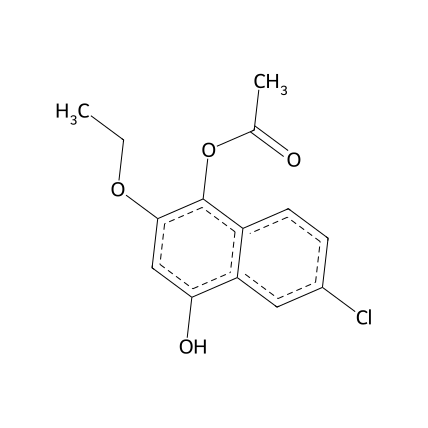 CCOc1cc(O)c2cc(Cl)ccc2c1OC(C)=O